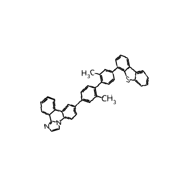 Cc1cc(-c2ccc3c(c2)c2ccccc2c2nccn32)ccc1-c1ccc(-c2cccc3c2sc2ccccc23)cc1C